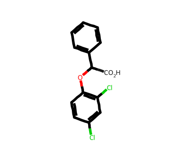 O=C(O)C(Oc1ccc(Cl)cc1Cl)c1ccccc1